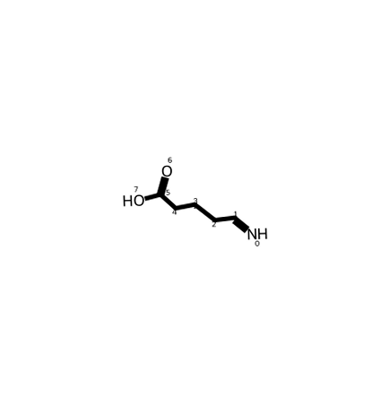 N=CC[CH]CC(=O)O